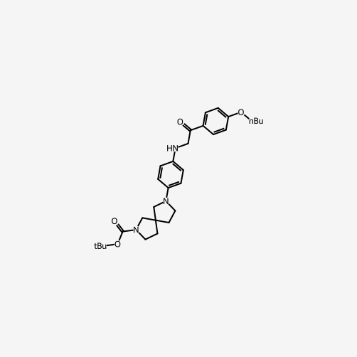 CCCCOc1ccc(C(=O)CNc2ccc(N3CCC4(CCN(C(=O)OC(C)(C)C)C4)C3)cc2)cc1